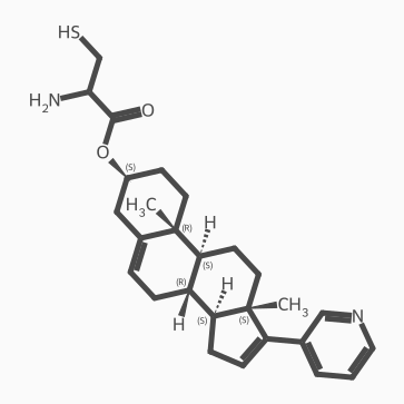 C[C@]12CC[C@H](OC(=O)C(N)CS)CC1=CC[C@@H]1[C@@H]2CC[C@]2(C)C(c3cccnc3)=CC[C@@H]12